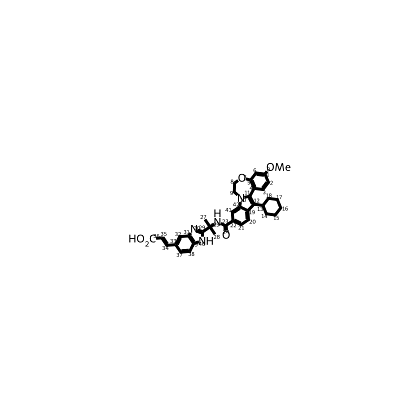 COc1ccc2c(c1)OCCn1c-2c(C2CCCCC2)c2ccc(C(=O)NC(C)(C)c3nc4cc(C=CC(=O)O)ccc4[nH]3)cc21